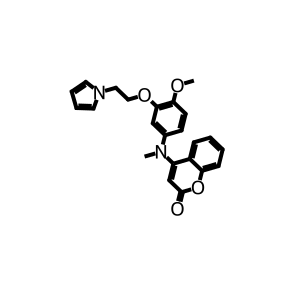 COc1ccc(N(C)c2cc(=O)oc3ccccc23)cc1OCCn1cccc1